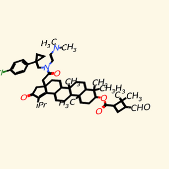 CC(C)C1=C2C3CCC4C(C)(CCC5C(C)(C)C(OC(=O)C6CC(C=O)C6(C)C)CCC54C)C3CCC2(CC(=O)N(CCN(C)C)CC2(c3ccc(Cl)cc3)CC2)CC1=O